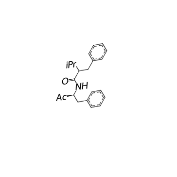 CC(=O)[C@H](Cc1ccccc1)NC(=O)C(Cc1ccccc1)C(C)C